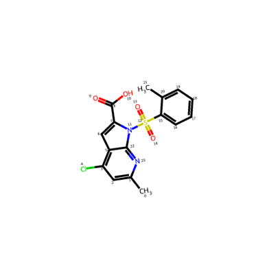 Cc1cc(Cl)c2cc(C(=O)O)n(S(=O)(=O)c3ccccc3C)c2n1